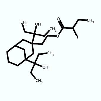 CCC(I)C(=O)OCCC1(C(O)(CC)CC)CC2CCCC(C(O)(CC)CC)(C2)C1